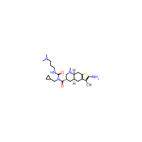 CN(C)CCCNC(=O)N(CC1CC1)C(=O)[C@@H]1C[C@@H]2Cc3c(sc(N)c3C#N)C[C@H]2N(C)C1